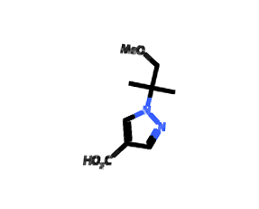 COCC(C)(C)n1cc(C(=O)O)cn1